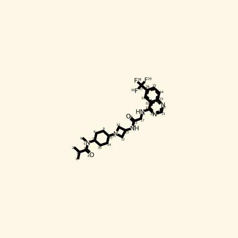 CC(C)C(=O)N(C)C1CCC(N2CC(NC(=O)CNc3ncnc4ccc(C(F)(F)F)cc34)C2)CC1